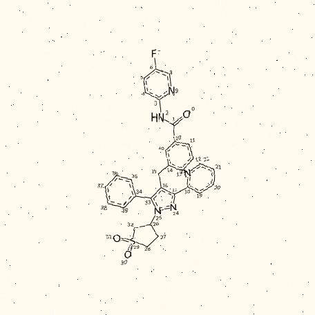 O=C(Nc1ccc(F)cn1)c1cccc(Cc2c(-c3ccccn3)nn(C3CCS(=O)(=O)C3)c2-c2ccccc2)c1